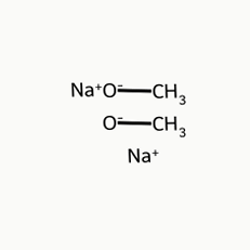 C[O-].C[O-].[Na+].[Na+]